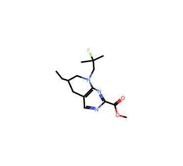 CCC1Cc2cnc(C(=O)OC)nc2N(CC(C)(C)F)C1